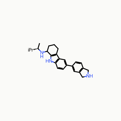 CC(C)[C@@H](C)NC1CCCc2c1[nH]c1ccc(-c3ccc4c(c3)CNC4)cc21